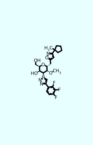 CO[C@@H]1[C@@H](n2cc(-c3ccc(F)c(F)c3F)nn2)[C@@H](O)[C@@H](CO)O[C@@H]1Cc1cc(C2(C)CCCC2)no1